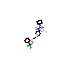 CC1(C(=O)Nc2ccccc2)CCN(CCOc2ccccc2C(F)(F)F)CC1